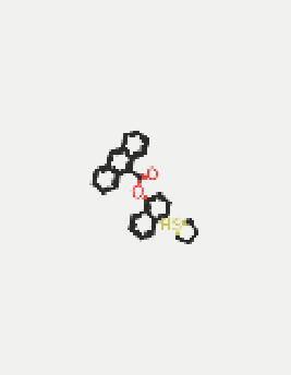 O=C(Oc1ccc([SH]2CCCC2)c2ccccc12)c1c2ccccc2cc2ccccc12